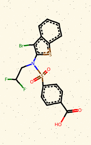 O=C(O)c1ccc(S(=O)(=O)N(CC(F)F)c2sc3ccccc3c2Br)cc1